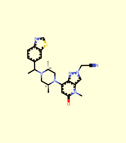 CC(c1ccc2ncsc2c1)N1C[C@H](C)N(c2cc(=O)n(C)c3cn(CC#N)nc23)C[C@H]1C